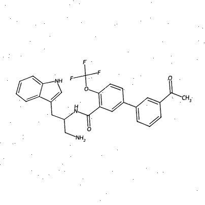 CC(=O)c1cccc(-c2ccc(OC(F)(F)F)c(C(=O)NC(CN)Cc3c[nH]c4ccccc34)c2)c1